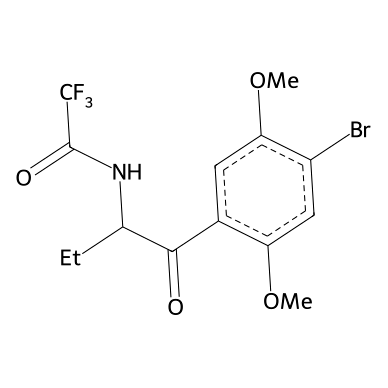 CCC(NC(=O)C(F)(F)F)C(=O)c1cc(OC)c(Br)cc1OC